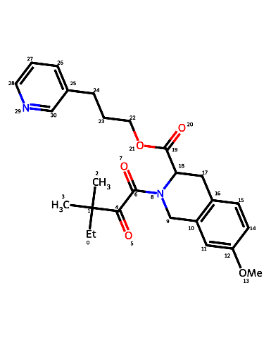 CCC(C)(C)C(=O)C(=O)N1Cc2cc(OC)ccc2CC1C(=O)OCCCc1cccnc1